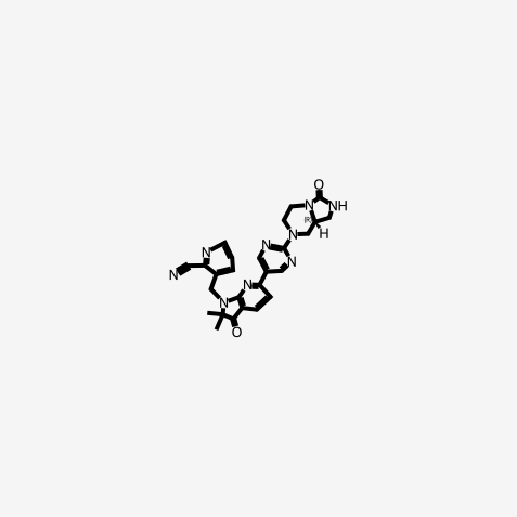 CC1(C)C(=O)c2ccc(-c3cnc(N4CCN5C(=O)NC[C@@H]5C4)nc3)nc2N1Cc1cccnc1C#N